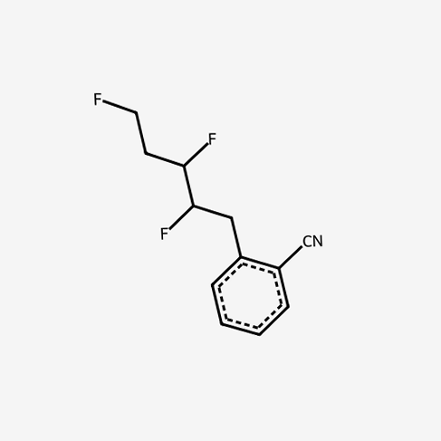 N#Cc1ccccc1CC(F)C(F)CCF